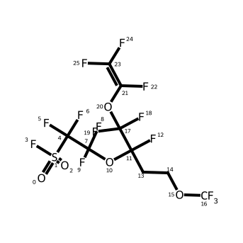 O=S(=O)(F)C(F)(F)C(F)(F)OC(F)(CCOC(F)(F)F)C(F)(F)OC(F)=C(F)F